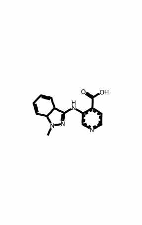 CN1N=C(Nc2cnccc2C(=O)O)C2C=CC=CC21